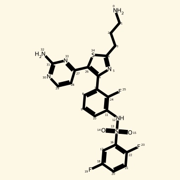 NCCCc1nc(-c2cccc(NS(=O)(=O)c3cc(F)ccc3F)c2F)c(-c2ccnc(N)n2)s1